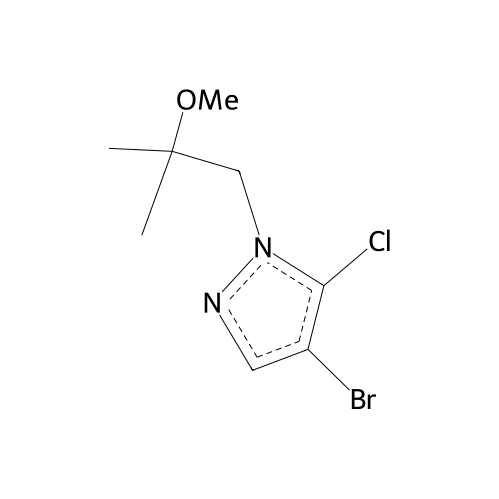 COC(C)(C)Cn1ncc(Br)c1Cl